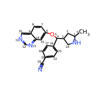 CC1CC(C(Oc2ccc3cncnc3c2)c2ccc(C#N)cc2)CN1